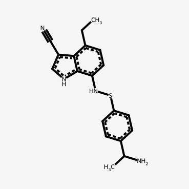 CCc1ccc(NSc2ccc(C(C)N)cc2)c2[nH]cc(C#N)c12